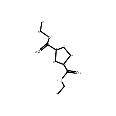 CCOC(=O)C1CCC(C(=O)OCC)C1